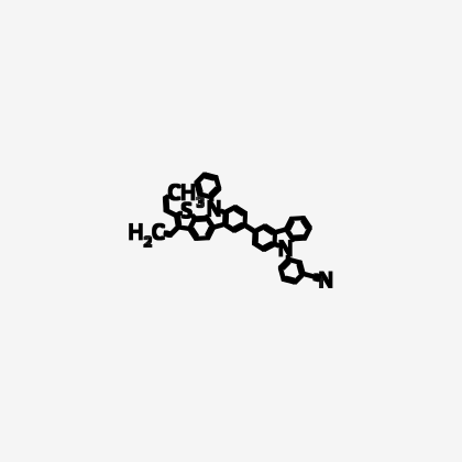 C=Cc1c(/C=C\C)sc2c1ccc1c3cc(-c4ccc5c(c4)c4ccccc4n5-c4cccc(C#N)c4)ccc3n(-c3ccccc3)c12